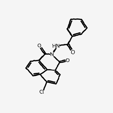 O=C(NN1C(=O)c2cccc3c(Cl)ccc(c23)C1=O)c1ccccc1